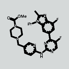 COC(=O)N1CCN(Cc2ccc(Nc3ncc(F)c(-c4cc(F)c5nc(C)n(C(C)C)c5c4)n3)nc2)CC1